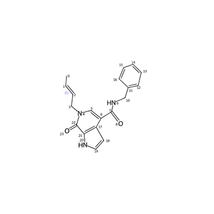 C/C=C/Cn1cc(C(=O)NCc2ccccc2)c2cc[nH]c2c1=O